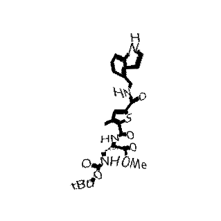 COC(=O)[C@H](CNC(=O)OC(C)(C)C)NC(=O)c1sc(C(=O)NCc2cccc3[nH]ccc23)cc1C